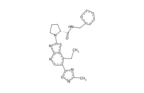 CCc1c(-c2nc(C)no2)cnc2nc(N3CCC[C@@H]3C(=O)NCc3ccccc3)sc12